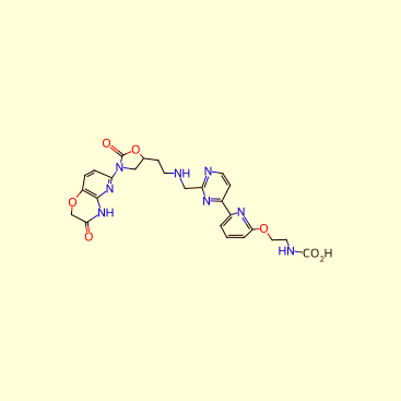 O=C(O)NCCOc1cccc(-c2ccnc(CNCCC3CN(c4ccc5c(n4)NC(=O)CO5)C(=O)O3)n2)n1